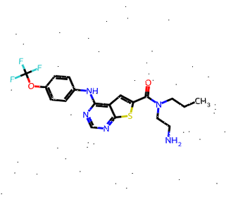 CCCN(CCN)C(=O)c1cc2c(Nc3ccc(OC(F)(F)F)cc3)ncnc2s1